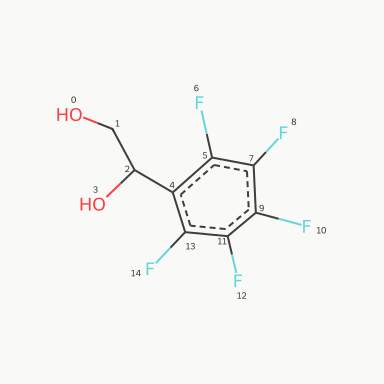 OCC(O)c1c(F)c(F)c(F)c(F)c1F